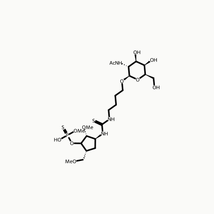 COC[C@H]1C[C@H](NC(=S)NCCCCO[C@@H]2O[C@H](CO)[C@H](O)[C@H](O)[C@H]2NC(C)=O)[C@@H](OC)C1OP(O)(=S)OC